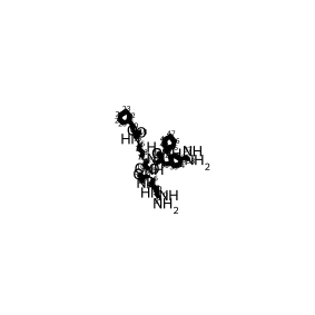 N=C(N)NCCC[C@H](NC(=O)[C@H](CCCCNC(=O)OCc1ccccc1)NC(=O)C(Cc1ccc(C(=N)N)cc1)C(=O)Nc1ccccc1)C(N)=O